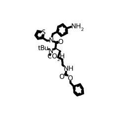 CC(C)(C)N(C(=O)O)[C@H](CCCCNC(=O)OCc1ccccc1)C(=O)N(Cc1ccc(N)cc1)Cc1cccs1